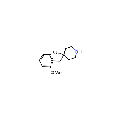 COc1ccccc1CC1(C#N)CCNCC1